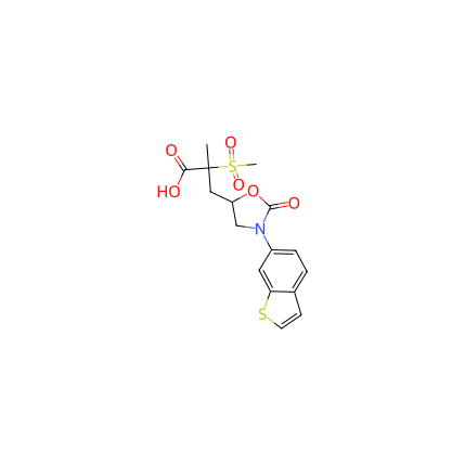 CC(CC1CN(c2ccc3ccsc3c2)C(=O)O1)(C(=O)O)S(C)(=O)=O